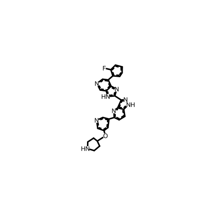 Fc1ccccc1-c1cncc2[nH]c(-c3n[nH]c4ccc(-c5cncc(OC6CCNCC6)c5)nc34)nc12